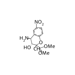 COC(OC)[C@@]1(C)Oc2ccc([N+](=O)[O-])cc2[C@H](N)[C@H]1O